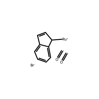 [Br-].[C]=O.[C]=O.[Ru+][CH]1C=Cc2ccccc21